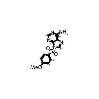 COc1ccc(S(=O)(=O)n2cnc3c(N)ncnc32)cc1